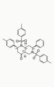 Cc1ccc([C@@H]2CC(=O)[C@@H]3CN(S(=O)(=O)c4ccc(C)cc4)[C@H](c4ccccc4)C[C@@H]3N2S(=O)(=O)c2ccc(C)cc2)cc1